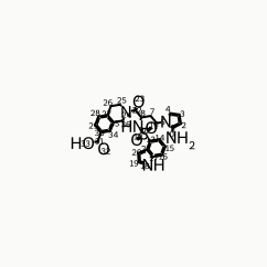 Nc1cccn1CCC(NS(=O)(=O)c1cccc2[nH]ccc12)C(=O)N1CCc2ccc(C(=O)O)cc2C1